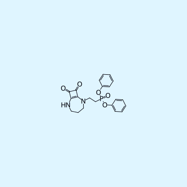 O=c1c2c(c1=O)N(CCP(=O)(Oc1ccccc1)Oc1ccccc1)CCCN2